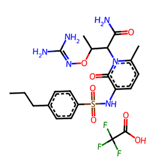 CCCc1ccc(S(=O)(=O)Nc2ccc(C)n(C(C(N)=O)C(C)ON=C(N)N)c2=O)cc1.O=C(O)C(F)(F)F